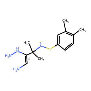 Cc1ccc(SNC(C)(C)/C(=C/N)NN)cc1C